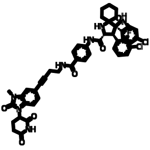 Cn1c(=O)n(C2CCC(=O)NC2=O)c2ccc(C#CCCNC(=O)c3ccc(NC(=O)[C@@H]4NC5(CCCCC5)[C@@]5(C(=O)Nc6cc(Cl)ccc65)[C@H]4c4cccc(Cl)c4F)cc3)cc21